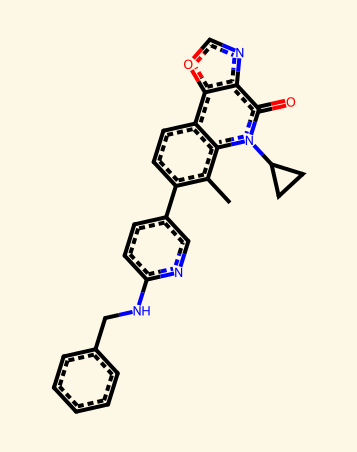 Cc1c(-c2ccc(NCc3ccccc3)nc2)ccc2c3ocnc3c(=O)n(C3CC3)c12